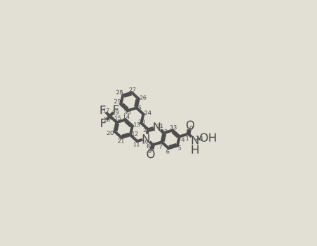 O=C(NO)c1ccc2c(=O)n(Cc3ccc(C(F)(F)F)cc3)c(CCc3ccccc3)nc2c1